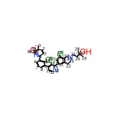 [CH2]c1ccc(-c2cccc(-c3ccnc(-c4cc(Cl)c5c(c4)CCN(CCC(C)(C)O)C5)c3Cl)c2Cl)nc1OC